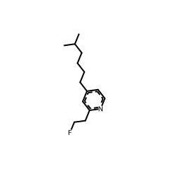 CC(C)CCCCc1ccnc(CCF)c1